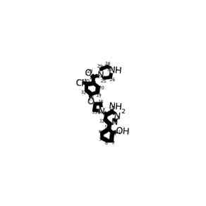 Nc1nnc(-c2ccccc2O)cc1N1CC(Oc2ccc(C(=O)N3CCNCC3)c(Cl)c2)C1